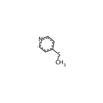 CSc1c[c]ncc1